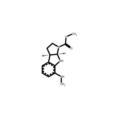 CNc1cccc2c1N[C@H]1[C@@H]2CCN1C(=O)OC